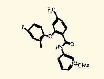 CO[n+]1cccc(NC(=O)c2ccc(C(F)(F)F)cc2Oc2ccc(F)cc2C)c1